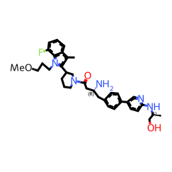 COCCCn1c(C2CCCN(C(=O)C[C@H](N)Cc3ccc(-c4ccc(N[C@@H](C)CO)nc4)cc3)C2)c(C)c2cccc(F)c21